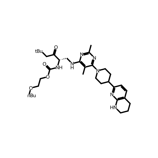 CCCCOCCOC(=O)N[C@@H](CNc1nc(C)nc(N2CCC(c3ccc4c(n3)NCCC4)CC2)c1C)C(=O)CC(C)(C)C